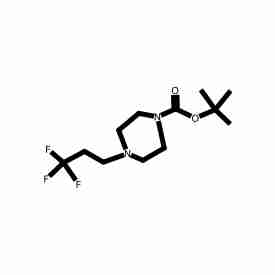 CC(C)(C)OC(=O)N1CCN(CCC(F)(F)F)CC1